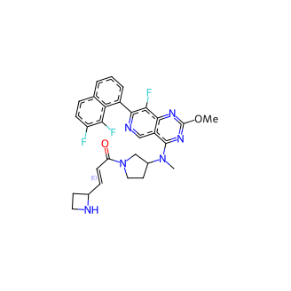 COc1nc(N(C)C2CCN(C(=O)/C=C/C3CCN3)C2)c2cnc(-c3cccc4ccc(F)c(F)c34)c(F)c2n1